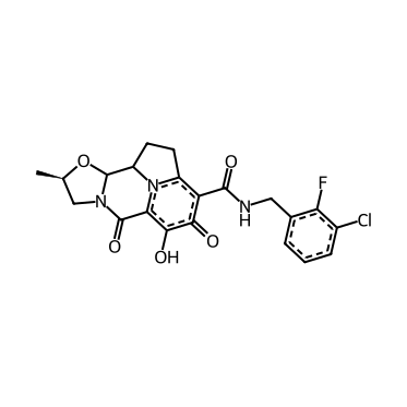 C[C@@H]1CN2C(=O)c3c(O)c(=O)c(C(=O)NCc4cccc(Cl)c4F)c4n3C(CC4)C2O1